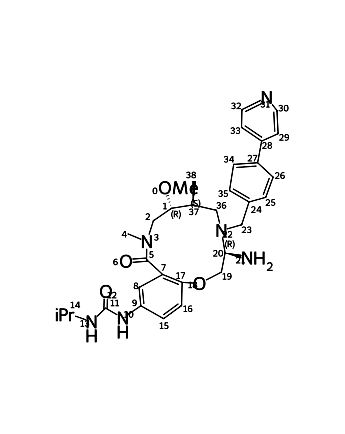 CO[C@H]1CN(C)C(=O)c2cc(NC(=O)NC(C)C)ccc2OC[C@H](N)N(Cc2ccc(-c3ccncc3)cc2)C[C@@H]1C